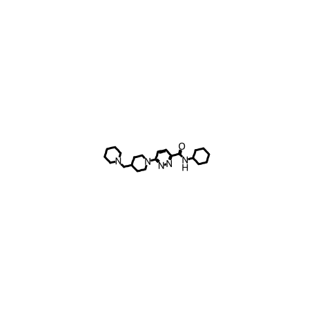 O=C(NC1CCCCC1)c1ccc(N2CCC(CN3CCCCC3)CC2)nn1